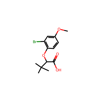 COc1ccc(OC(C(=O)O)C(C)(C)C)c(Br)c1